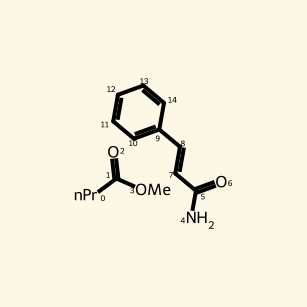 CCCC(=O)OC.NC(=O)C=Cc1ccccc1